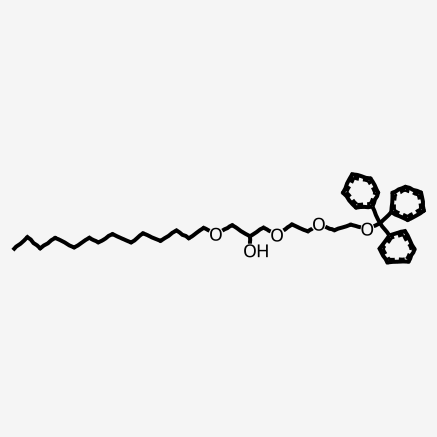 CCCCCCCCCCCCCCOCC(O)COCCOCCOC(c1ccccc1)(c1ccccc1)c1ccccc1